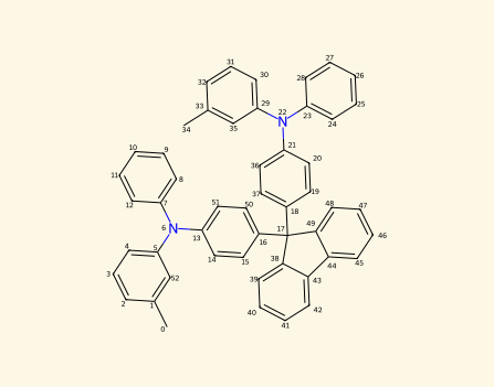 Cc1cccc(N(c2ccccc2)c2ccc(C3(c4ccc(N(c5ccccc5)c5cccc(C)c5)cc4)c4ccccc4-c4ccccc43)cc2)c1